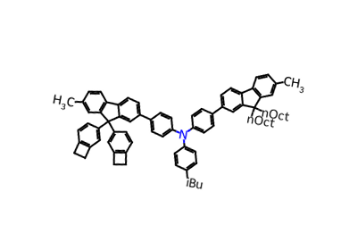 CCCCCCCCC1(CCCCCCCC)c2cc(C)ccc2-c2ccc(-c3ccc(N(c4ccc(-c5ccc6c(c5)C(c5ccc7c(c5)CC7)(c5ccc7c(c5)CC7)c5cc(C)ccc5-6)cc4)c4ccc(C(C)CC)cc4)cc3)cc21